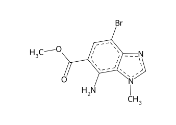 COC(=O)c1cc(Br)c2ncn(C)c2c1N